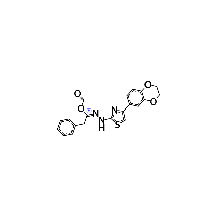 O=CO/C(Cc1ccccc1)=N/Nc1nc(-c2ccc3c(c2)OCCO3)cs1